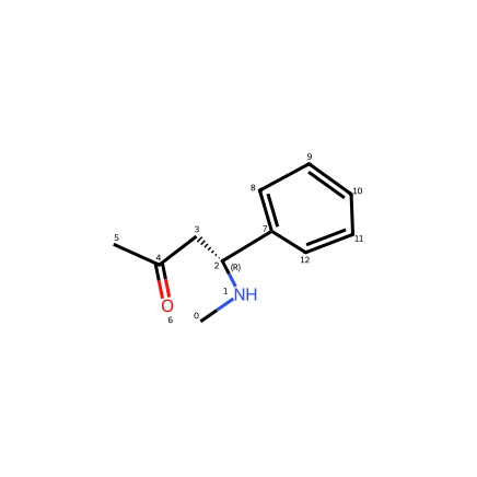 CN[C@H](CC(C)=O)c1ccccc1